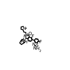 CN1CCCC1CCn1nc(N2CC3CCC(C2)N3)c2ccc(-c3ccc(F)c4sc(N)nc34)c(F)c2c1=O